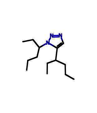 CCCC(CC)c1cnnn1C(CC)CCC